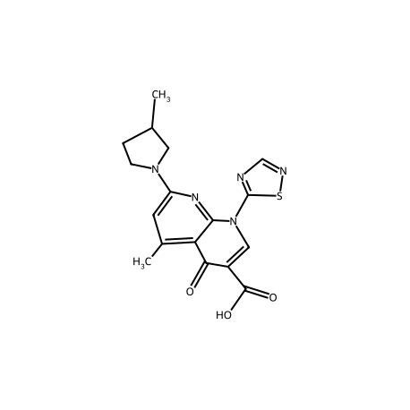 Cc1cc(N2CCC(C)C2)nc2c1c(=O)c(C(=O)O)cn2-c1ncns1